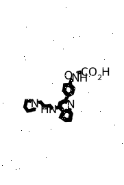 O=C(O)CNC(=O)c1ccc(-c2cc(NCCCN3CCCCC3)c3ccccc3n2)cc1